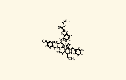 C=CCN1CC(=O)N2[C@@H](Cc3ccc(Cl)cc3)C(=O)N(Cc3cccc4sc(C(=O)OCC)nc34)C[C@@H]2N1C(=O)NCc1ccccc1